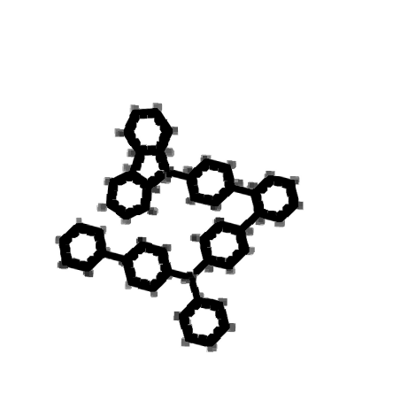 c1ccc(-c2ccc(N(c3ccccc3)c3ccc(-c4ccccc4-c4ccc(-n5c6ccccc6c6ccccc65)cc4)cc3)cc2)cc1